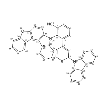 N#Cc1cccc(C2=CC(n3c4ccccc4c4ccccc43)CC=C2)c1-n1c2c(c3c4c(ccc31)oc1ccccc14)C=CCC2